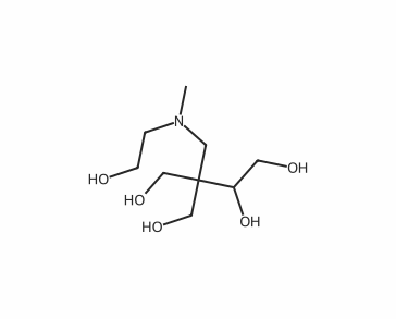 CN(CCO)CC(CO)(CO)C(O)CO